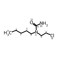 CCCCCN(CCCl)C(N)=O